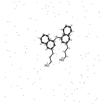 OCCCc1cc(Sc2cc(CCCO)cc3ccccc23)c2ccccc2c1